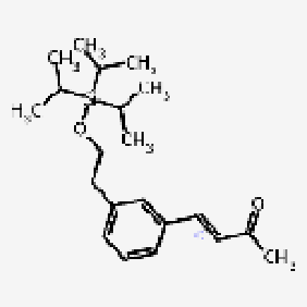 CC(=O)/C=C/c1cccc(CCO[Si](C(C)C)(C(C)C)C(C)C)c1